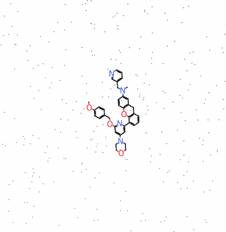 COc1ccc(COc2cc(N3CCOCC3)cc(-c3cccc4c3Oc3ccc(N(C)Cc5cccnc5)cc3C4)n2)cc1